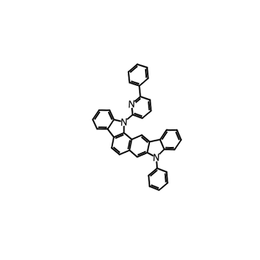 c1ccc(-c2cccc(-n3c4ccccc4c4ccc5cc6c(cc5c43)c3ccccc3n6-c3ccccc3)n2)cc1